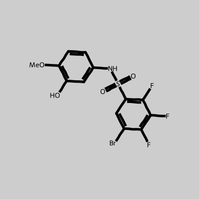 COc1ccc(NS(=O)(=O)c2cc(Br)c(F)c(F)c2F)cc1O